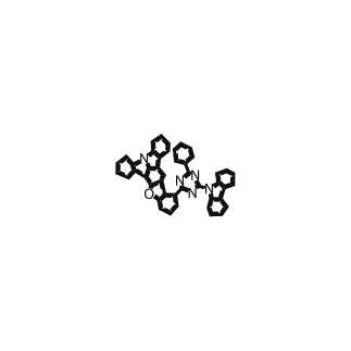 c1ccc(-c2nc(-c3cccc4oc5c(cc6c7ccccc7n7c8ccccc8c5c67)c34)nc(-n3c4ccccc4c4ccccc43)n2)cc1